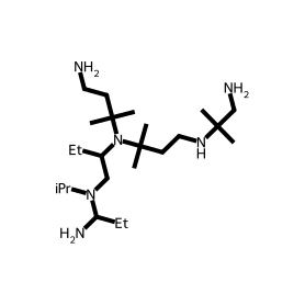 CCC(N)N(CC(CC)N(C(C)(C)CCN)C(C)(C)CCNC(C)(C)CN)C(C)C